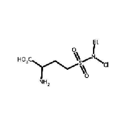 CCN(Cl)S(=O)(=O)CCC(N)C(=O)O